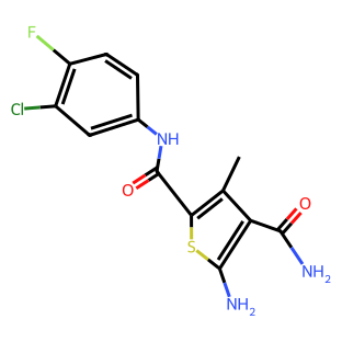 Cc1c(C(=O)Nc2ccc(F)c(Cl)c2)sc(N)c1C(N)=O